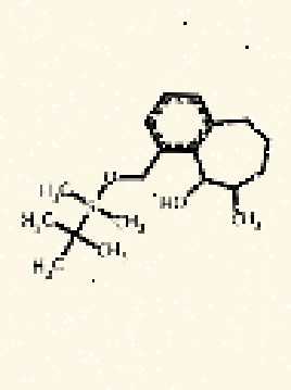 CC1CCCc2cccc(CO[Si](C)(C)C(C)(C)C)c2C1O